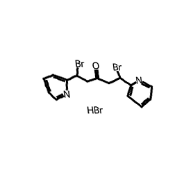 Br.O=C(CC(Br)c1ccccn1)CC(Br)c1ccccn1